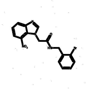 O=C(Cn1cnc2cccc([N+](=O)[O-])c21)NCc1ccccc1Br